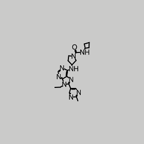 CCn1c(-c2cnc(C)nc2)nc2c(NC3CCN(C(=O)NC4CCC4)C3)ncnc21